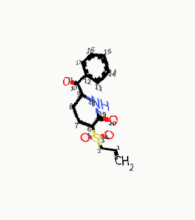 C=CCS(=O)(=O)C1CCC(C(=O)c2ccccc2)NC1=O